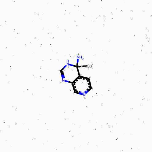 CC(C)(C)C1(N)NC=Nc2cnccc21